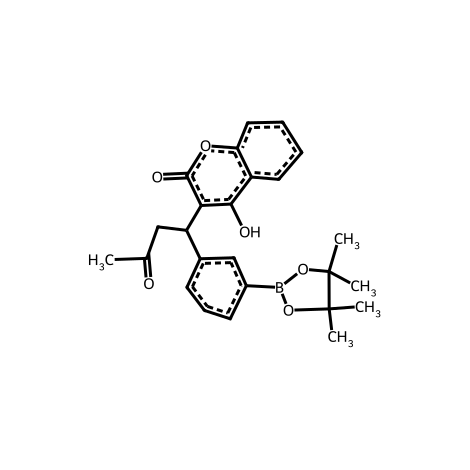 CC(=O)CC(c1cccc(B2OC(C)(C)C(C)(C)O2)c1)c1c(O)c2ccccc2oc1=O